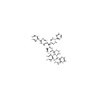 c1ccc(-c2ccc(N(c3ccc(-c4ccccc4)cc3)c3ccc(-c4cccc(-c5ccc6ccccc6c5)c4)c(-c4ccccc4)c3)cc2)cc1